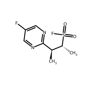 C[C@H]([C@@H](C)c1ncc(F)cn1)S(=O)(=O)F